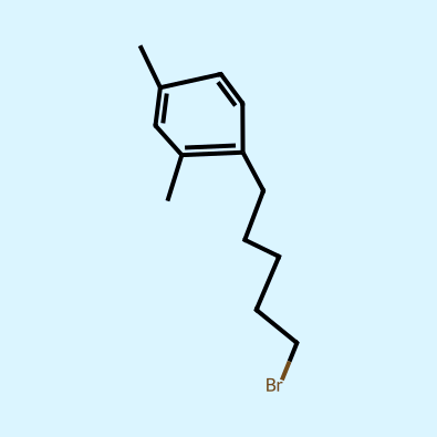 Cc1ccc(CCCCCBr)c(C)c1